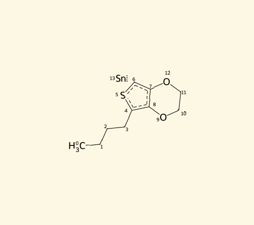 CCCCc1scc2c1OCCO2.[Sn]